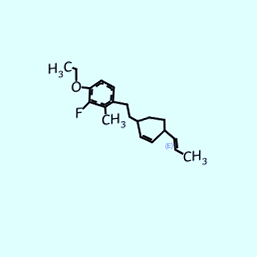 C/C=C/C1C=CC(CCc2ccc(OCC)c(F)c2C)CC1